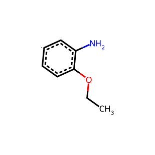 CCOc1cc[c]cc1N